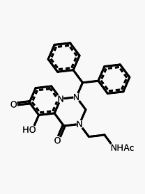 CC(=O)NCCN1CN(C(c2ccccc2)c2ccccc2)n2ccc(=O)c(O)c2C1=O